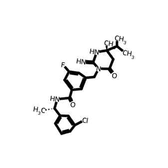 CC(C)[C@]1(C)CC(=O)N(Cc2cc(F)cc(C(=O)N[C@@H](C)c3cccc(Cl)c3)c2)C(=N)N1